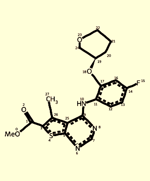 COC(=O)c1sc2ncnc(Nc3ccc(F)cc3O[C@@H]3CCCOC3)c2c1C